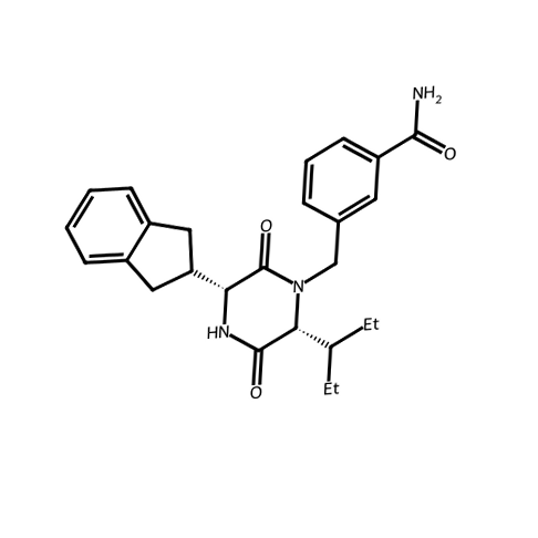 CCC(CC)[C@@H]1C(=O)N[C@H](C2Cc3ccccc3C2)C(=O)N1Cc1cccc(C(N)=O)c1